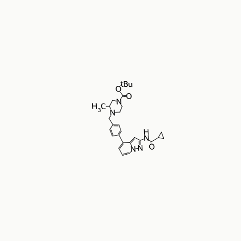 CC1CN(C(=O)OC(C)(C)C)CCN1Cc1ccc(-c2cccn3nc(NC(=O)C4CC4)cc23)cc1